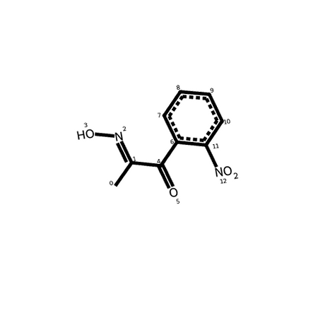 CC(=NO)C(=O)c1ccccc1[N+](=O)[O-]